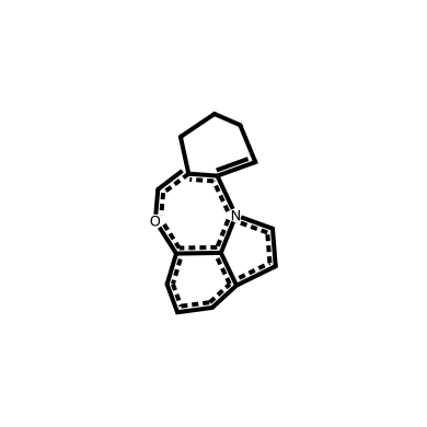 C1=c2c(coc3cccc4ccn2c43)CCC1